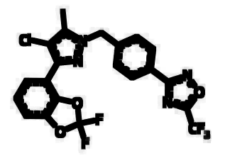 Cc1c(Cl)c(-c2cccc3c2OC(F)(F)O3)nn1Cc1ccc(-c2noc(C(F)(F)F)n2)cc1